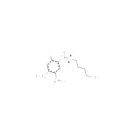 CCCCCS(=O)(=O)Nc1cc([N+](=O)[O-])c(N)cc1Cl